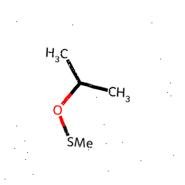 CSOC(C)C